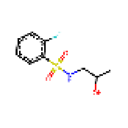 CC(O)CNS(=O)(=O)c1ccccc1F